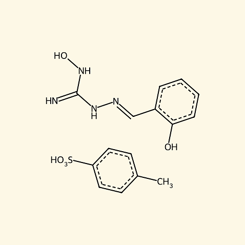 Cc1ccc(S(=O)(=O)O)cc1.N=C(NO)NN=Cc1ccccc1O